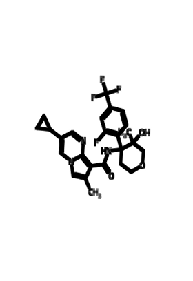 Cc1cn2cc(C3CC3)cnc2c1C(=O)NC1(c2ccc(C(F)(F)F)cc2F)CCOCC1(C)O